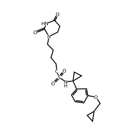 O=C1CCN(CCCCCS(=O)(=O)NC2(c3cccc(OCC4CC4)c3)CC2)C(=O)N1